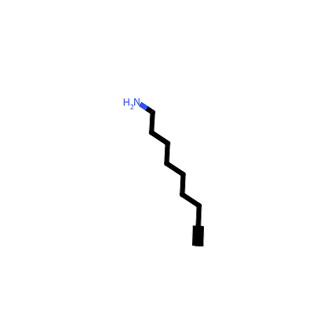 C#CCCCCCCCN